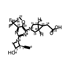 C#C[C@H]1[C@H](O)CN1c1nc(N2C[C@@H]3C(CC(=O)O)[C@@H]3C2)c(OC)c(C(F)(F)F)n1